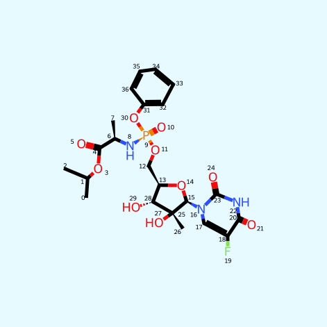 CC(C)OC(=O)[C@@H](C)N[P@@](=O)(OC[C@H]1O[C@@H](n2cc(F)c(=O)[nH]c2=O)[C@](C)(O)[C@@H]1O)Oc1ccccc1